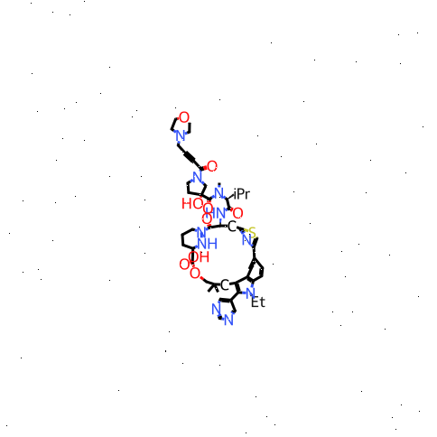 CCn1c(-c2cncnc2)c2c3cc(ccc31)-c1csc(n1)C[C@H](NC(=O)[C@H](C(C)C)N(C)C(=O)C1(O)CCN(C(=O)C#CCN3CCOCC3)C1)C(=O)N1CCC[C@@](O)(N1)C(=O)OCC(C)(C)C2